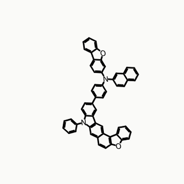 c1ccc(-n2c3ccc(-c4ccc(N(c5ccc6ccccc6c5)c5ccc6c(c5)oc5ccccc56)cc4)cc3c3cc4c(ccc5oc6ccccc6c54)cc32)cc1